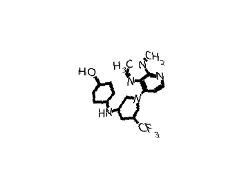 C=Nc1nccc(N2CC(NC3CCC(O)CC3)CC(C(F)(F)F)C2)c1/N=C\C